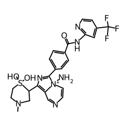 CN1CCS(O)(O)C(C2=C3C=NC=C[N+]3(N)C(c3ccc(C(=O)Nc4cc(C(F)(F)F)ccn4)cc3)=N2)C1